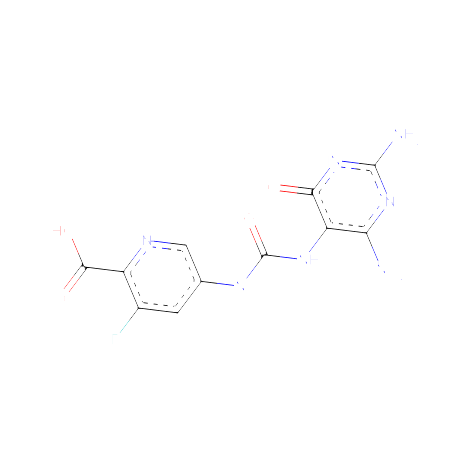 Nc1nc(N)c(NC(=O)Nc2cnc(C(=O)O)c(F)c2)c(=O)[nH]1